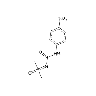 CS(C)(=O)=NC(=O)Nc1ccc([N+](=O)[O-])cc1